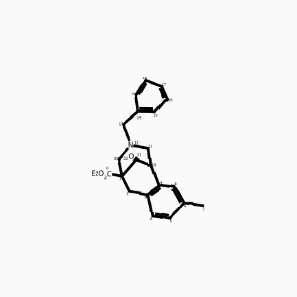 CCOC(=O)C12Cc3ccc(C)cc3C(CN(Cc3ccccc3)C1)C2=O